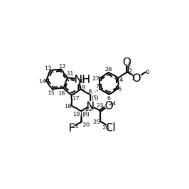 COC(=O)c1ccc([C@H]2c3[nH]c4ccccc4c3C[C@H](CF)N2C(=O)CCl)cc1